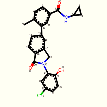 Cc1ccc(C(=O)NC2CC2)cc1-c1ccc2c(c1)CN(c1cc(Cl)ccc1O)C2=O